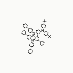 CC(C)(C)c1ccc(N(c2ccc(C(C)(C)C)cc2)c2ccc3c(c2)-c2cc(-c4ccccc4)cc4c2B(c2cc(-c5ccccc5)ccc2N4c2ccc(-c4ccccc4)cc2)N3c2ccc(-c3ccccc3)cc2)cc1